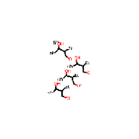 CCCC(O)C(CC)C[O-].CCCC(O)C(CC)C[O-].CCCC(O)C(CC)C[O-].CCCC(O)C(CC)C[O-].[Ti+4]